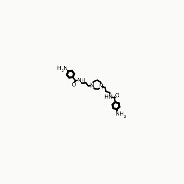 Nc1ccc(C(=O)NCCCN2CCCN(CCCNC(=O)c3ccc(N)cc3)CC2)cc1